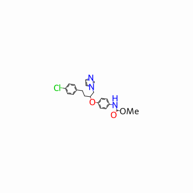 COC(=O)Nc1ccc(OC(CCc2ccc(Cl)cc2)Cn2ccnc2)cc1